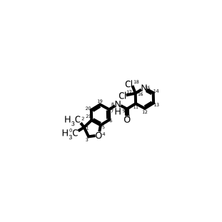 CC1(C)COc2cc(NC(=O)C3C=CC=NC3(Cl)Cl)ccc21